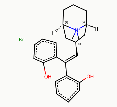 C[N+]1(C)[C@@H]2CCC[C@H]1C[C@@H](C=C(c1ccccc1O)c1ccccc1O)C2.[Br-]